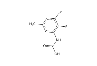 Cc1cc(Br)c(F)c(NC(=O)O)c1